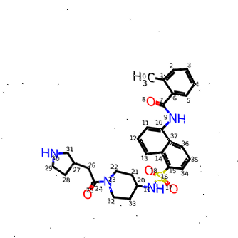 Cc1ccccc1C(=O)Nc1cccc2c(S(=O)(=O)NC3CCN(C(=O)CC4CCNC4)CC3)cccc12